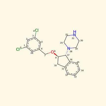 Clc1cc(Cl)cc(CO[C@@H]2Cc3ccccc3[C@H]2N2CCNCC2)c1